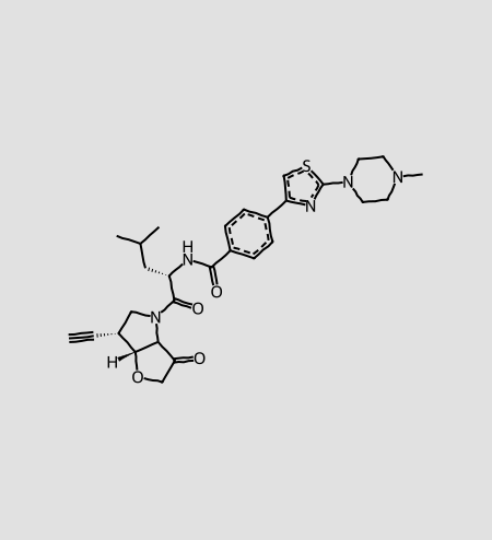 C#C[C@@H]1CN(C(=O)[C@H](CC(C)C)NC(=O)c2ccc(-c3csc(N4CCN(C)CC4)n3)cc2)C2C(=O)CO[C@@H]21